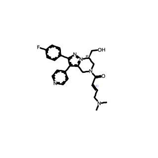 CN(C)C/C=C/C(=O)N1Cc2c(-c3ccncc3)c(-c3ccc(F)cc3)nn2[C@@H](CO)C1